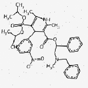 CC1=C(C(=O)OC(CN(C)Cc2ccccc2)c2ccccc2)C(c2cccc([N+](=O)[O-])c2)C(P(=O)(OC(C)C)OC(C)C)=C(C)N1